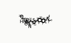 CCN(CC)c1ccc2cc(-c3ccc(/C(C)=C(\C#N)S(=O)(=O)NCCOC)s3)ccc2c1